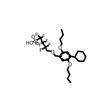 CCCCOc1cc(C2CCCCC2)c(OCCCC)cc1COCC(F)(F)C(F)(F)C(F)(F)S(=O)(=O)O